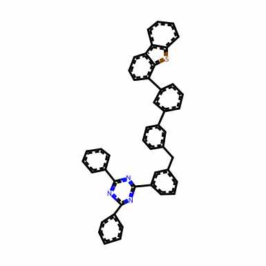 c1ccc(-c2nc(-c3ccccc3)nc(-c3cccc(Cc4cccc(-c5cccc(-c6cccc7c6sc6ccccc67)c5)c4)c3)n2)cc1